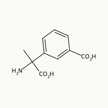 CC(N)(C(=O)O)c1cccc(C(=O)O)c1